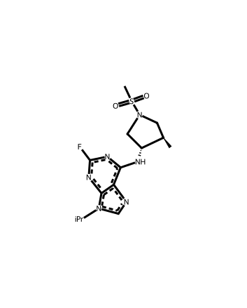 CC(C)n1cnc2c(N[C@@H]3CN(S(C)(=O)=O)C[C@H]3C)nc(F)nc21